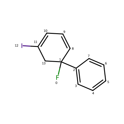 FC1(c2ccccc2)C=CC=C(I)C1